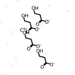 O=C([O-])CCO.O=C([O-])CCO.O=C([O-])CCO.O=C([O-])CCO.[C+4]